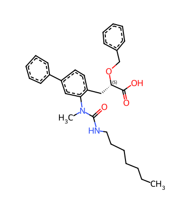 CCCCCCCNC(=O)N(C)c1cc(-c2ccccc2)ccc1C[C@H](OCc1ccccc1)C(=O)O